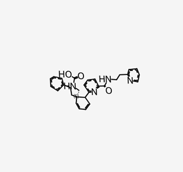 O=C(O)NC[C@@]1(CCc2ccccc2)C=CC=CC1c1cccc(C(=O)NCCc2ccccn2)n1